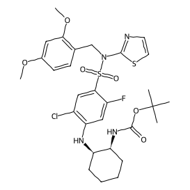 COc1ccc(CN(c2nccs2)S(=O)(=O)c2cc(Cl)c(N[C@@H]3CCCC[C@@H]3NC(=O)OC(C)(C)C)cc2F)c(OC)c1